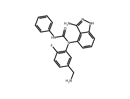 NCc1ccc(F)c(N(C(=O)Nc2ccccc2)c2cccc3[nH]nc(N)c23)c1